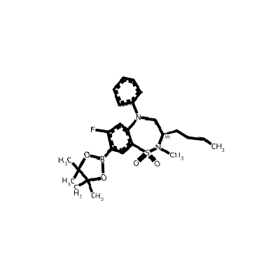 CCCC[C@@H]1CN(c2ccccc2)c2cc(F)c(B3OC(C)(C)C(C)(C)O3)cc2S(=O)(=O)N1C